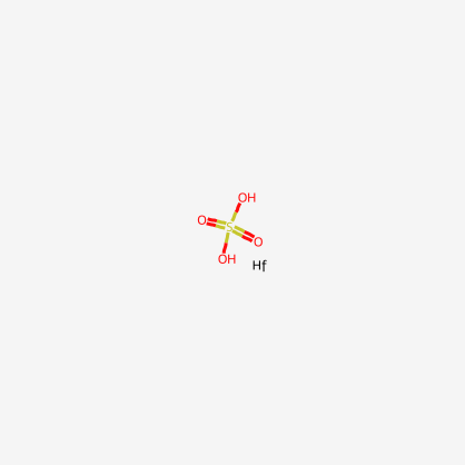 O=S(=O)(O)O.[Hf]